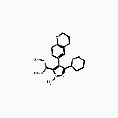 Cn1nc(C2CCCCC2)c(-c2ccc3c(c2)CCCO3)c1C(OC(C)(C)C)C(=O)O